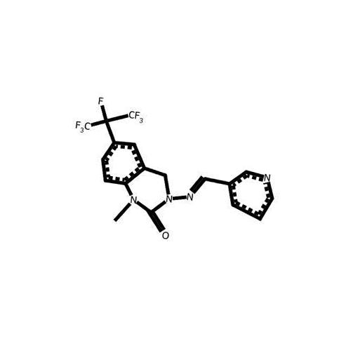 CN1C(=O)N(/N=C/c2cccnc2)Cc2cc(C(F)(C(F)(F)F)C(F)(F)F)ccc21